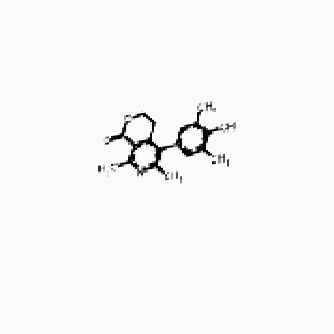 Cc1cc(-c2c(C)nc(C)c3c2CCOC3=O)cc(C)c1O